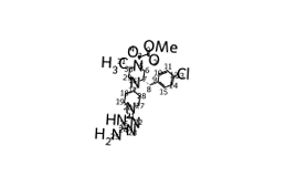 COC(=O)C(=O)N1C[C@H](Cc2ccc(Cl)cc2)N(C2CCN(c3nnc(N)[nH]3)CC2)C[C@@H]1C